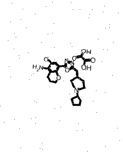 Nc1c(Cl)cc(-c2nnc(CC3CCN(C4CCCC4)CC3)o2)c2c1CCCO2.O=C(O)C(=O)O